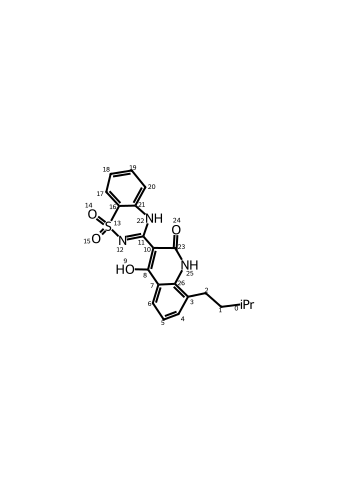 CC(C)CCc1cccc2c(O)c(C3=NS(=O)(=O)c4ccccc4N3)c(=O)[nH]c12